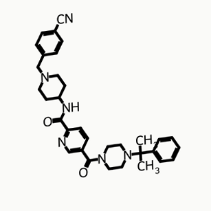 CC(C)(c1ccccc1)N1CCN(C(=O)c2ccc(C(=O)NC3CCN(Cc4ccc(C#N)cc4)CC3)nc2)CC1